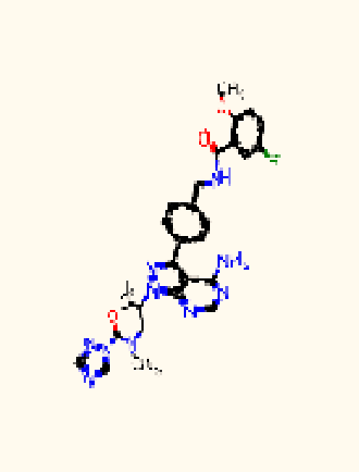 COc1ccc(F)cc1C(=O)NCc1ccc(-c2nn(C(C)CN(C)C(=O)n3cncn3)c3ncnc(N)c23)cc1